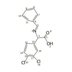 O=C(O)C(N=Cc1ccccc1)c1ccc(Cl)c(Cl)c1